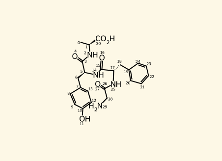 C[C@H](NC(=O)[C@H](Cc1ccc(O)cc1)NC(=O)[C@H](Cc1ccccc1)NC(=O)CN)C(=O)O